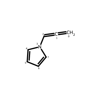 C=C=Cn1cccc1